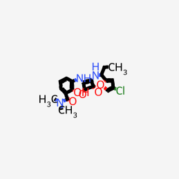 CCC(Nc1c(Nc2cccc(C(=O)N(C)C)c2O)c(=O)c1=O)c1cc(Cl)co1